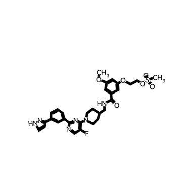 COc1cc(OCCOS(C)(=O)=O)cc(C(=O)NCC2CCN(c3nc(-c4cccc(-c5cc[nH]n5)c4)ncc3F)CC2)c1